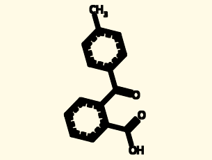 Cc1ccc(C(=O)c2ccccc2C(=O)O)cc1